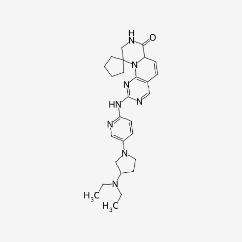 CCN(CC)C1CCN(c2ccc(Nc3ncc4c(n3)N3C(C=C4)C(=O)NCC34CCCC4)nc2)C1